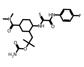 CN(C)C(=O)C1CCC(NC(=S)C(=O)Nc2ccc(F)cc2)C(CC(C)(C)OC(N)=O)C1